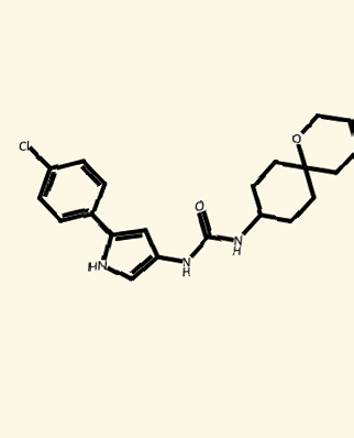 O=C(Nc1c[nH]c(-c2ccc(Cl)cc2)c1)NC1CCC2(CCCCO2)CC1